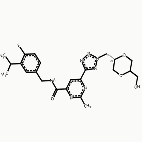 Cc1nc(C(=O)NCc2ccc(F)c(C(C)C)c2)cc(-c2nnn(C[C@H]3COC(CO)CO3)n2)n1